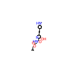 CNc1ccc(C#Cc2cnc(C(=O)NCC(=O)OCC3CC3)c(O)c2)cc1